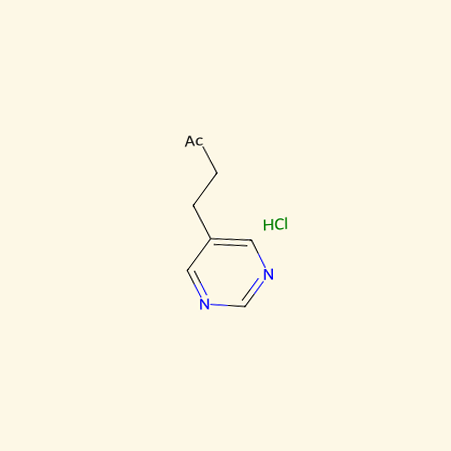 CC(=O)CCc1cncnc1.Cl